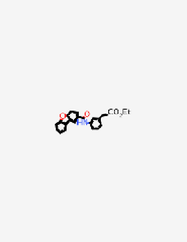 CCOC(=O)C=Cc1cccc(NC(=O)c2ccc3oc4ccccc4c3c2)c1